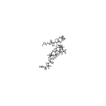 COCCOC(=O)N[C@H](C)[C@@H](CN[C@]12CC[C@@H](C3(C)CC3)[C@@H]1[C@H]1CC[C@@H]3[C@@]4(C)CC[C@H](OC(=O)[C@H]5C[C@@H](C(=O)O)C5(C)C)C(C)(C)[C@@H]4CC[C@@]3(C)[C@]1(C)CC2)N1CCS(=O)(=O)CC1